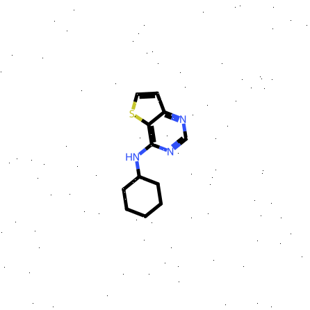 c1nc(NC2CCCCC2)c2sccc2n1